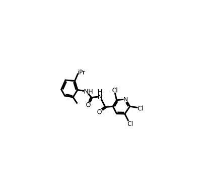 Cc1cccc(C(C)C)c1NC(=O)NC(=O)c1cc(Cl)c(Cl)nc1Cl